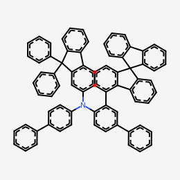 c1ccc(-c2ccc(N(c3ccc4c(c3)C(c3ccccc3)(c3ccccc3)c3ccccc3-4)c3ccc(-c4ccccc4)cc3-c3cccc4c3-c3ccccc3C43c4ccccc4-c4ccccc43)cc2)cc1